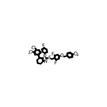 COc1ccc(COc2cc(F)c(CSc3nc4c(n3-c3ccc(F)cc3)C(c3ccc(Cl)c(OC)c3)CCC4)c(F)c2)cc1